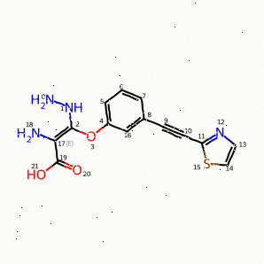 NN/C(Oc1cccc(C#Cc2nccs2)c1)=C(\N)C(=O)O